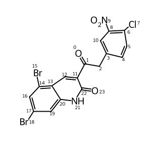 O=C(Cc1ccc(Cl)c([N+](=O)[O-])c1)c1cc2c(Br)cc(Br)cc2[nH]c1=O